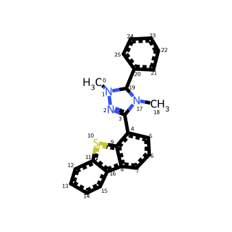 CN1N=C(c2cccc3c2sc2ccccc23)N(C)C1c1ccccc1